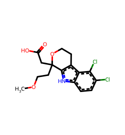 COCCC1(CC(=O)O)OCCc2c1[nH]c1ccc(Cl)c(Cl)c21